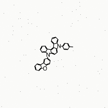 Cc1ccc(-n2c3ccccc3c3c4c5ccccc5n(-c5ccc6oc7ccccc7c6c5)c4ccc32)cc1